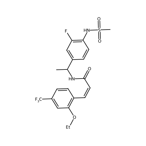 CCOc1cc(C(F)(F)F)ccc1/C=C\C(=O)NC(C)c1ccc(NS(C)(=O)=O)c(F)c1